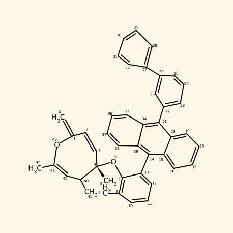 C=C1/C=C\[C@](C)(Oc2c(C)cccc2-c2c3ccccc3c(-c3cccc(-c4ccccc4)c3)c3ccccc23)C(C)C=C(C)O1